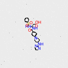 O=C(O)C[C@@H](NC(=O)c1ccc(N2CCC(Nc3ncccn3)CC2)cc1)NS(=O)(=O)c1ccccc1